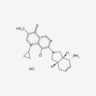 Cl.N[C@@H]1C=CC[C@@H]2CN(c3ncc4c(=O)c(C(=O)O)cn(C5CC5)c4c3Cl)C[C@@H]21